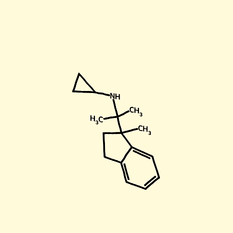 CC(C)(NC1CC1)C1(C)CCc2ccccc21